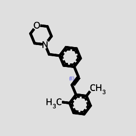 Cc1cccc(C)c1/C=C/c1cccc(CN2CCOCC2)c1